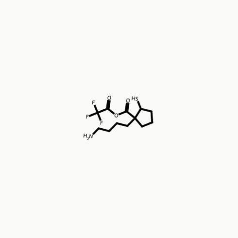 NCCCCC1(C(=O)OC(=O)C(F)(F)F)CCCC1S